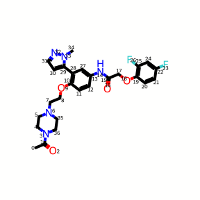 CC(=O)N1CCN(CCOc2ccc(NC(=O)COc3ccc(F)cc3F)cc2-c2ccnn2C)CC1